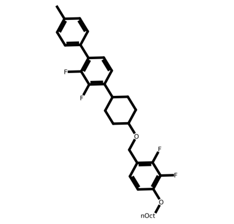 CCCCCCCCOc1ccc(COC2CCC(c3ccc(-c4ccc(C)cc4)c(F)c3F)CC2)c(F)c1F